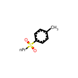 CCCS(=O)(=O)c1ccc(C)cc1